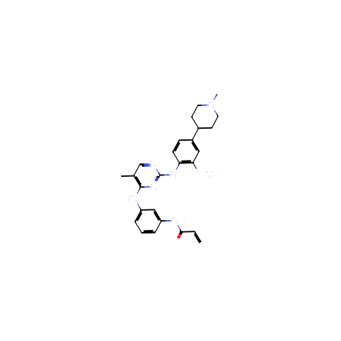 C=CC(=O)Nc1cccc(Nc2nc(Nc3ccc(C4CCN(C)CC4)cc3OC)ncc2C)c1